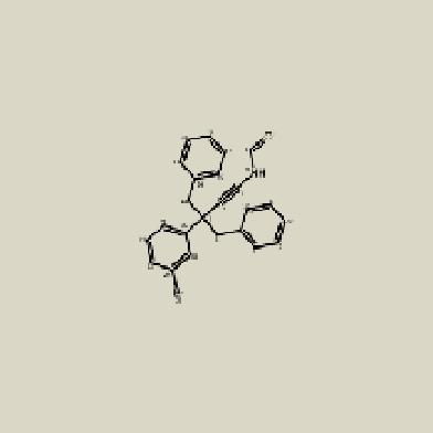 O=CNC#CC(Cc1ccccc1)(Cc1ccccc1)c1cccc(Br)c1